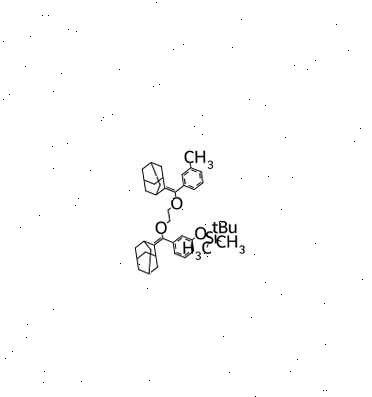 Cc1cccc(C(OCCOC(=C2C3CC4CC(C3)CC2C4)c2cccc(O[Si](C)(C)C(C)(C)C)c2)=C2C3CC4CC(C3)CC2C4)c1